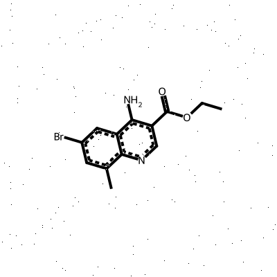 CCOC(=O)c1cnc2c(C)cc(Br)cc2c1N